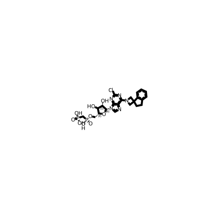 O=P(O)(O)CP(=O)(O)OC[C@H]1O[C@@H](n2cnc3c(N4CC5(CCc6ccccc65)C4)nc(Cl)nc32)[C@@H](O)C1O